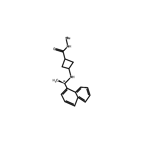 C[C@@H](NC1CC(C(=O)NC(C)(C)C)C1)c1cccc2ccccc12